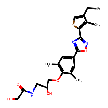 Cc1cc(-c2nc(-c3scc(CC(C)C)c3C)no2)cc(C)c1OCC(O)CNC(=O)CO